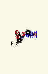 O=C(/C=C1\CC2(CCOCC2)Oc2cc(C(F)(F)F)ccc21)Nc1cccc2c1CNC(=O)N2